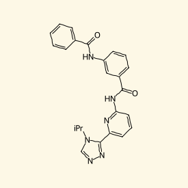 CC(C)n1cnnc1-c1cccc(NC(=O)c2cccc(NC(=O)c3ccccc3)c2)n1